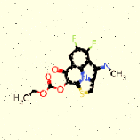 CCOC(=O)Oc1c(=O)c2cc(F)c(F)c3c(=NC)c4csc1n4c23